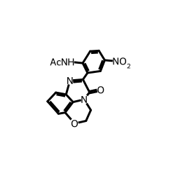 CC(=O)Nc1ccc([N+](=O)[O-])cc1-c1nc2cccc3c2n(c1=O)CCO3